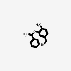 C=C(Oc1cc(CBr)ccc1C)c1ccccc1